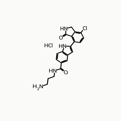 Cl.NCCCNC(=O)c1ccc2[nH]c(-c3ccc(Cl)c4c3C(=O)NC4)cc2c1